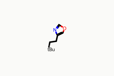 CC(C)(C)CCc1cocn1